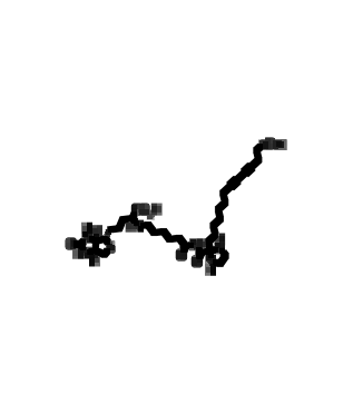 CCCCCCCCCCCCC#CC#CCCCCCCCC1(C(=O)NC(=O)CCCCCNC(CCC[C@@H]2SC[C@@H]3NC(=O)N[C@@H]32)C(=O)O)NCCN1